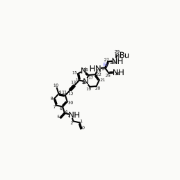 C=CCNC(=C)c1ccc(C)c(C#Cc2cnc3n2CCC=C3N/C(C=N)=C/NCCCC)c1